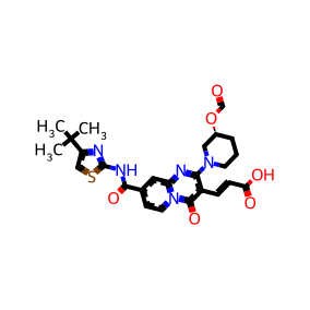 CC(C)(C)c1csc(NC(=O)c2ccn3c(=O)c(/C=C/C(=O)O)c(N4CCC[C@@H](OC=O)C4)nc3c2)n1